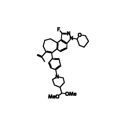 C=C(C)C1=C(c2ccc(N3CCC(C(OC)OC)CC3)cc2)c2ccc3c(c(F)nn3C3CCCCO3)c2CCC1